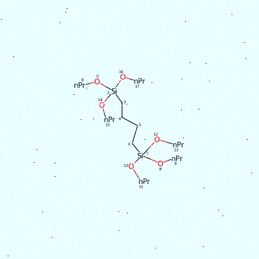 CCCO[Si](CCCC[Si](OCCC)(OCCC)OCCC)(OCCC)OCCC